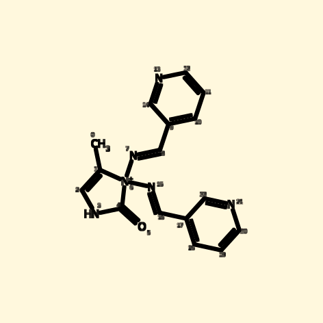 CC1=CNC(=O)[N+]1(N=Cc1cccnc1)N=Cc1cccnc1